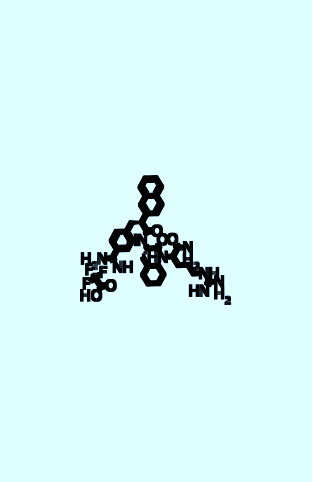 N=C(N)NCCCC(NC(=O)[C@H](CC1CCCCC1)NC(=O)[C@@H](Cc1ccc(C(=N)N)cc1)c1ccc2ccccc2c1)C(N)=O.O=C(O)C(F)(F)F